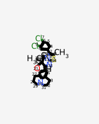 CC1=C(c2ccc(Cl)c(Cl)c2)N2C(=N[C@H]3c4cc5c6c(c4OC[C@@H]3C2(C)C)CCCN6CCC5)S1